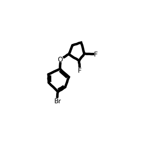 FC1CCC(Oc2ccc(Br)cc2)C1F